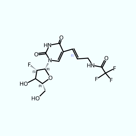 O=C(NC/C=C/c1cn([C@@H]2O[C@H](CO)C(O)[C@@H]2F)c(=O)[nH]c1=O)C(F)(F)F